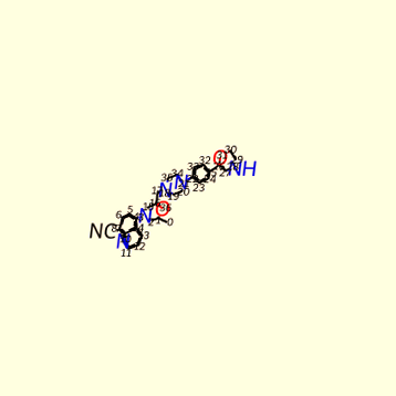 CC1CN(c2ccc(C#N)c3ncccc23)CC(CN2CCN(c3ccc(C4CNCCO4)cc3)CC2)O1